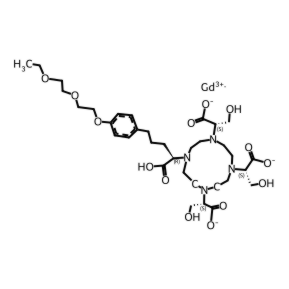 CCOCCOCCOc1ccc(CCC[C@H](C(=O)O)N2CCN([C@@H](CO)C(=O)[O-])CCN([C@@H](CO)C(=O)[O-])CCN([C@@H](CO)C(=O)[O-])CC2)cc1.[Gd+3]